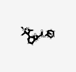 Cc1nn(C)c(C)c1-c1cccc2cc(C(=O)NC3CN4CCC3CC4)oc12